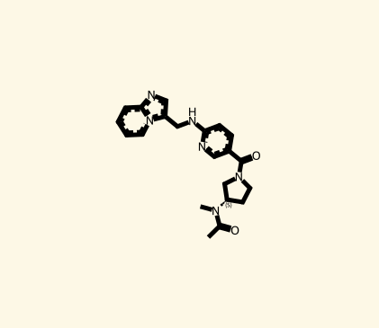 CC(=O)N(C)[C@H]1CCN(C(=O)c2ccc(NCc3cnc4ccccn34)nc2)C1